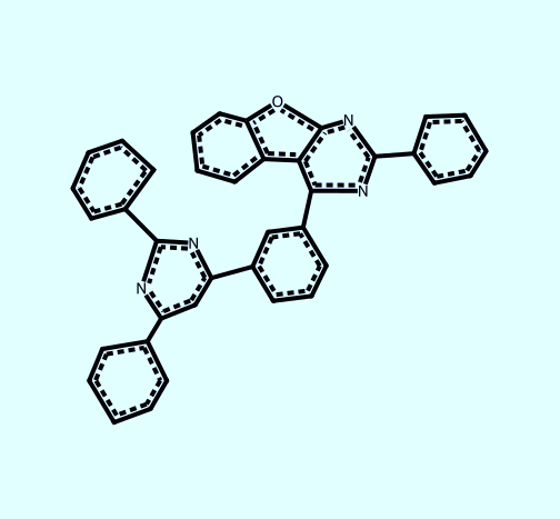 c1ccc(-c2cc(-c3cccc(-c4nc(-c5ccccc5)nc5oc6ccccc6c45)c3)nc(-c3ccccc3)n2)cc1